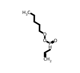 C=CC[PH](=O)OOCCCCC